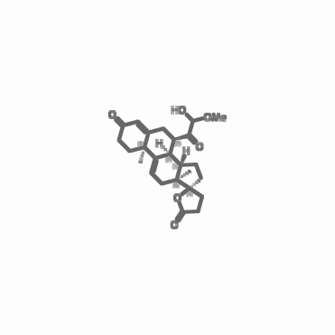 COC(O)C(=O)[C@@H]1CC2=CC(=O)CC[C@]2(C)C2=CC[C@@]3(C)[C@@H](CC[C@@]34CCC(=O)O4)[C@@H]21